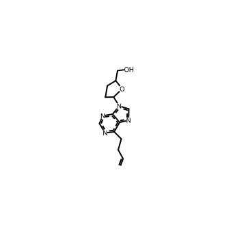 C=CCCc1ncnc2c1ncn2C1CCC(CO)O1